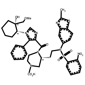 COC[C@]1(O)CCCC[C@H]1n1cnc(C(=O)N2CCN(C(=O)O)C[C@H]2CCN(c2ccc3sc(C)nc3c2)S(=O)(=O)c2ccccc2[N+](=O)[O-])c1-c1ccccc1